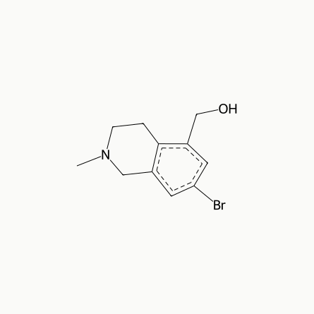 CN1CCc2c(CO)cc(Br)cc2C1